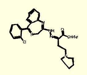 COC(=O)C(CCN1CCCC1)=NNC1=Nc2ccccc2C(c2ccccc2Cl)=NC1